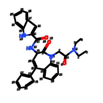 CCN(CC)C(=O)CN1C(=O)C(NC(=O)c2cc3ccccc3[nH]2)C=C(c2ccccc2)c2ccccc21